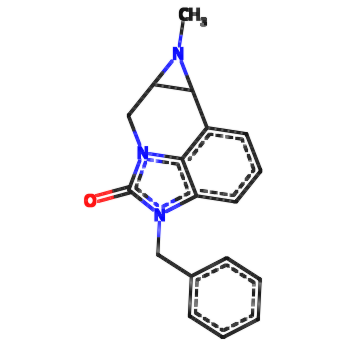 CN1C2Cn3c(=O)n(Cc4ccccc4)c4cccc(c43)C21